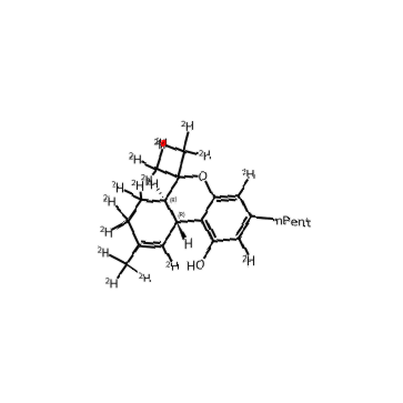 [2H]C1=C(C([2H])([2H])[2H])C([2H])([2H])C([2H])([2H])[C@]2([2H])[C@@H]1c1c(O)c([2H])c(CCCCC)c([2H])c1OC2(C([2H])([2H])[2H])C([2H])([2H])[2H]